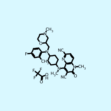 Cc1cc(F)ccc1N(CC1CN(C)CCO1)C1CCC(N(C)c2c(C#N)c(=O)n(C)c3ccc(C#N)nc23)CC1.O=C(O)C(F)(F)F